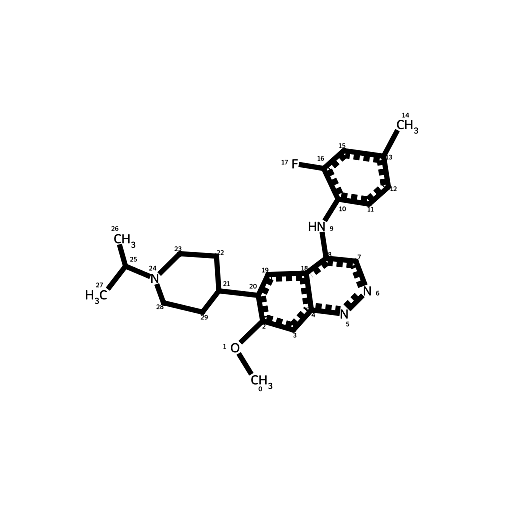 COc1cc2nncc(Nc3ccc(C)cc3F)c2cc1C1CCN(C(C)C)CC1